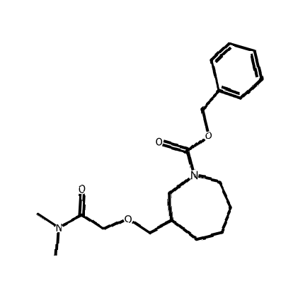 CN(C)C(=O)COCC1CCCCN(C(=O)OCc2ccccc2)C1